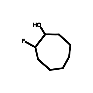 OC1CCCCCCC1F